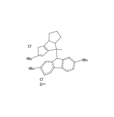 CC(C)(C)C1=CC2=C(C1)C1CCCC1C2(C)C1c2cc(C(C)(C)C)ccc2-c2ccc(C(C)(C)C)cc21.[Cl-].[Cl-].[Zr+2]